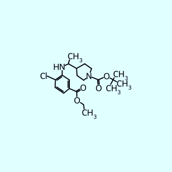 CCOC(=O)c1ccc(Cl)c(NC(C)C2CCN(C(=O)OC(C)(C)C)CC2)c1